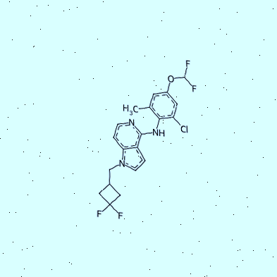 Cc1cc(OC(F)F)cc(Cl)c1Nc1nccc2c1ccn2CC1CC(F)(F)C1